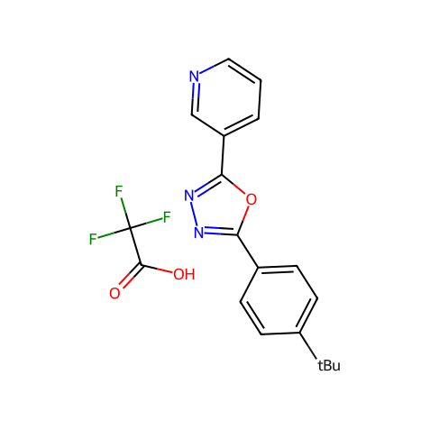 CC(C)(C)c1ccc(-c2nnc(-c3cccnc3)o2)cc1.O=C(O)C(F)(F)F